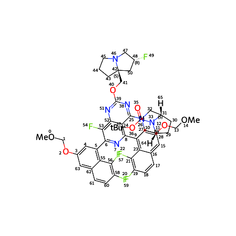 COCOc1cc(-c2nc(-c3cc(OCOC)cc4ccc(F)c(F)c34)c3c(N4C[C@H]5CC[C@@H](C4)N5C(=O)OC(C)(C)C)nc(OC[C@@]45CCCN4C[C@H](F)C5)nc3c2F)c2c(F)c(F)ccc2c1